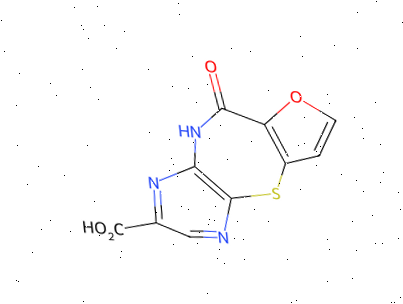 O=C(O)c1cnc2c(n1)NC(=O)c1occc1S2